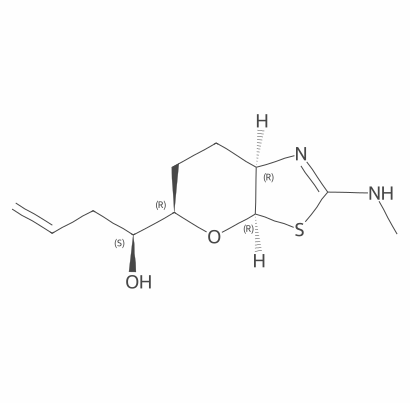 C=CC[C@H](O)[C@H]1CC[C@H]2N=C(NC)S[C@H]2O1